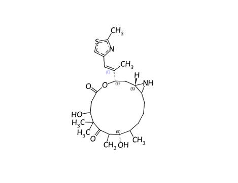 C/C(=C\c1csc(C)n1)[C@@H]1C[C@@H]2NC2CCCC(C)[C@H](O)C(C)C(=O)C(C)(C)C(O)CC(=O)O1